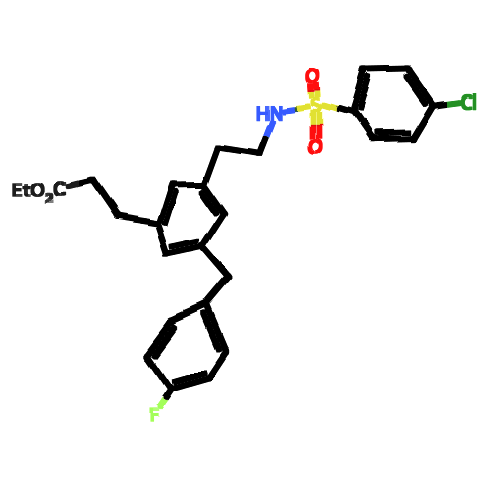 CCOC(=O)CCc1cc(CCNS(=O)(=O)c2ccc(Cl)cc2)cc(Cc2ccc(F)cc2)c1